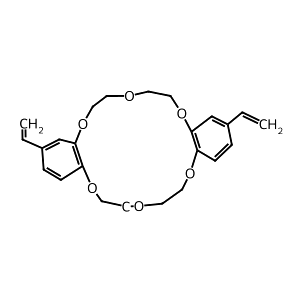 C=Cc1ccc2c(c1)OCCOCCOc1cc(C=C)ccc1OCCOCCO2